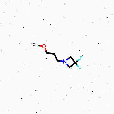 CC(C)OCCCN1CC(F)(F)C1